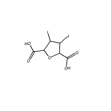 O=C(O)C1OC(C(=O)O)C(I)C1I